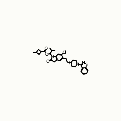 CC1CC(C(=O)OC(C(C)C)N2C(=O)Cc3cc(CCN4CCN(c5nsc6ccccc56)CC4)c(Cl)cc32)C1